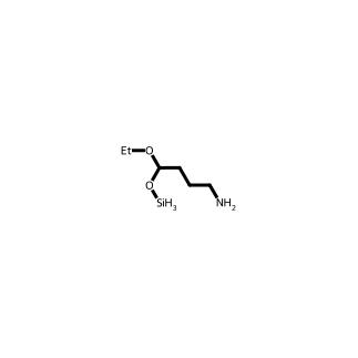 CCOC(CCCN)O[SiH3]